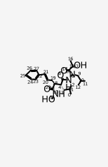 CC(C)C[C@@H](C(=O)NN(CC(C)C)C(=O)C(C)O)[C@H](CC=Cc1ccccc1)C(=O)NO